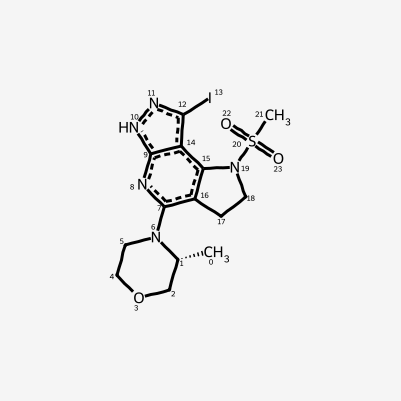 C[C@@H]1COCCN1c1nc2[nH]nc(I)c2c2c1CCN2S(C)(=O)=O